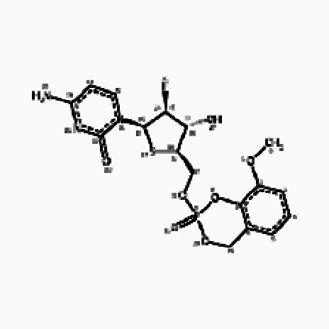 COc1cccc2c1OP(=O)(OC[C@H]1S[C@@H](n3ccc(N)nc3=O)[C@@H](F)[C@@H]1O)OC2